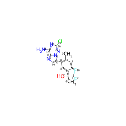 Cc1ccc(C(C)(O)C(F)F)cc1-c1cnc2c(N)nc(Cl)nn12